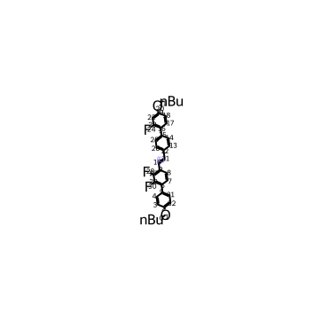 CCCCOc1ccc(-c2ccc(/C=C/c3ccc(-c4ccc(OCCCC)cc4F)cc3)c(F)c2F)cc1